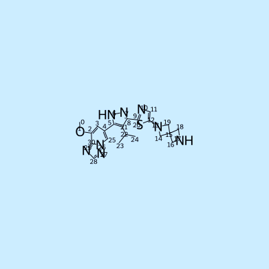 COc1cc(-c2[nH]nc(-c3ncc(N4CC5(CNC5)C4)s3)c2C(C)C)cn2ncnc12